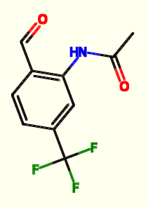 CC(=O)Nc1cc(C(F)(F)F)ccc1C=O